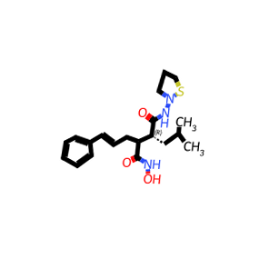 CC(C)C[C@@H](C(=O)NN1CCCS1)C(CC=Cc1ccccc1)C(=O)NO